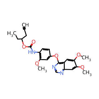 C#CCC(CC)OC(=O)Nc1ccc(Oc2ncnc3cc(OC)c(OC)cc23)cc1OC